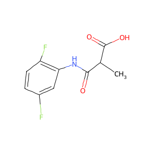 CC(C(=O)O)C(=O)Nc1cc(F)ccc1F